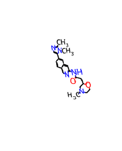 Cc1ncc(-c2ccc3cnc(NC(=O)CC4CN(C)CCO4)cc3c2)n1C